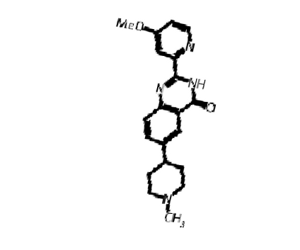 COc1ccnc(-c2nc3ccc(C4CCN(C)CC4)cc3c(=O)[nH]2)c1